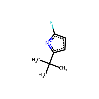 CC(C)(C)c1ccc(F)[nH]1